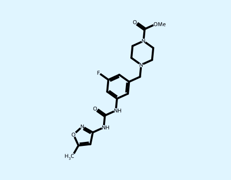 COC(=O)N1CCN(Cc2cc(F)cc(NC(=O)Nc3cc(C)on3)c2)CC1